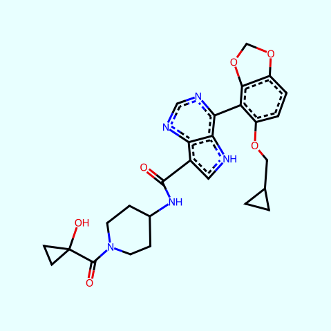 O=C(NC1CCN(C(=O)C2(O)CC2)CC1)c1c[nH]c2c(-c3c(OCC4CC4)ccc4c3OCO4)ncnc12